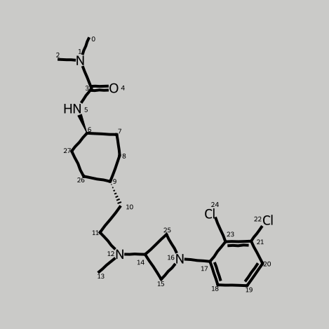 CN(C)C(=O)N[C@H]1CC[C@H](CCN(C)C2CN(c3cccc(Cl)c3Cl)C2)CC1